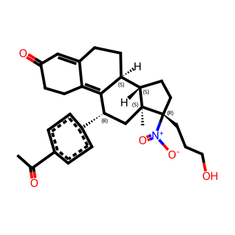 CC(=O)c1ccc([C@H]2C[C@@]3(C)[C@@H](CC[C@]3(CCCO)[N+](=O)[O-])[C@@H]3CCC4=CC(=O)CCC4=C32)cc1